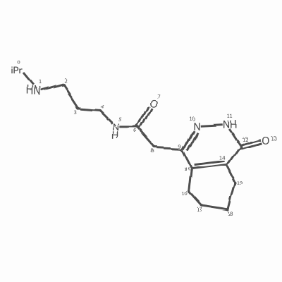 CC(C)NCCCNC(=O)Cc1n[nH]c(=O)c2c1CCCC2